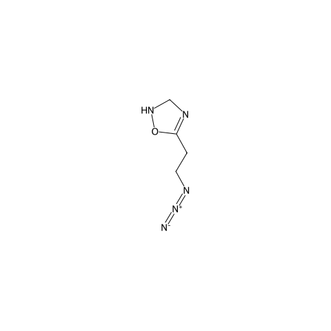 [N-]=[N+]=NCCC1=NCNO1